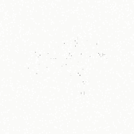 COC(=O)N1CCC(Oc2nc(N[C@H]3CC[C@H](C)CC3)ncc2C2=CC3OCCOC3C=C2)C1